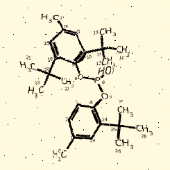 Cc1ccc(OP(O)Oc2c(C(C)(C)C)cc(C)cc2C(C)(C)C)c(C(C)(C)C)c1